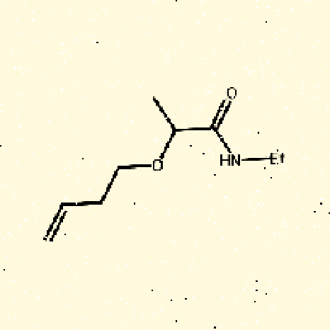 C=CCCOC(C)C(=O)NCC